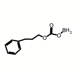 BOC(=O)OCCCc1ccccc1